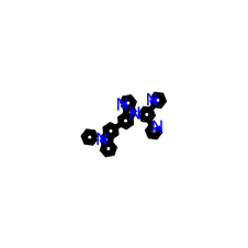 c1ccc(-n2c3ccccc3c3cc(-c4ccc5c(c4)c4ncccc4n5-c4cc(-c5ccccn5)cc(-c5ccccn5)c4)ccc32)cc1